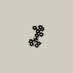 C1=Cc2c(cccc2-c2nc(-c3ccc(-c4cc(-c5ccccc5)c5c(c4-c4ccccc4)-c4cccc6cccc-5c46)cc3)nc(-c3cccc4ccccc34)n2)CC1